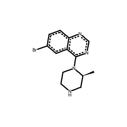 C[C@H]1CNCCN1c1ncnc2ccc(Br)cc12